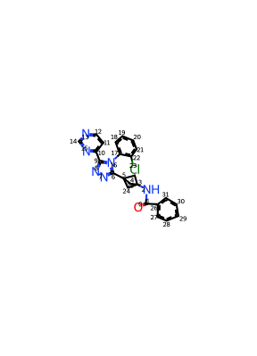 O=C(NC12CC(c3nnc(-c4ccncn4)n3-c3ccccc3Cl)(C1)C2)c1ccccc1